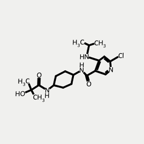 CC(C)Nc1cc(Cl)ncc1C(=O)NC1CCC(NC(=O)C(C)(C)O)CC1